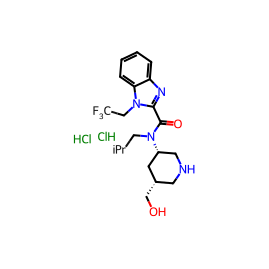 CC(C)CN(C(=O)c1nc2ccccc2n1CC(F)(F)F)[C@@H]1CNC[C@H](CO)C1.Cl.Cl